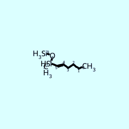 CCCCC=C[SiH](C)O[SiH3]